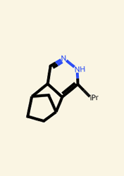 CC(C)C1=C2C3CCC(C3)C2C=NN1